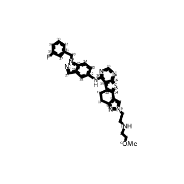 COCCNCCn1cc2c(n1)CCc1c-2sc2ncnc(Nc3ccc4c(cnn4Cc4cccc(F)c4)c3)c12